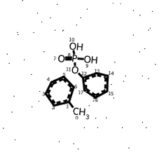 Cc1ccccc1.O=P(O)(O)Oc1ccccc1